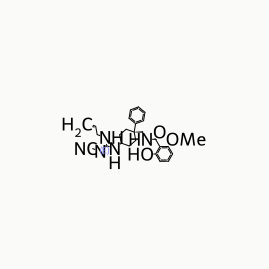 C=CCN/C(=N\C#N)N[C@H]1CC[C@](CNC(=O)c2c(O)cccc2OC)(c2ccccc2)CC1